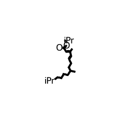 CC(C=CCCC(C)CCCCC(C)C)=CC(=O)OC(C)C